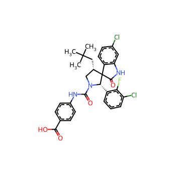 CC(C)(C)C[C@H]1CN(C(=O)Nc2ccc(C(=O)O)cc2)[C@@H](c2cccc(Cl)c2F)C12C(=O)Nc1cc(Cl)ccc12